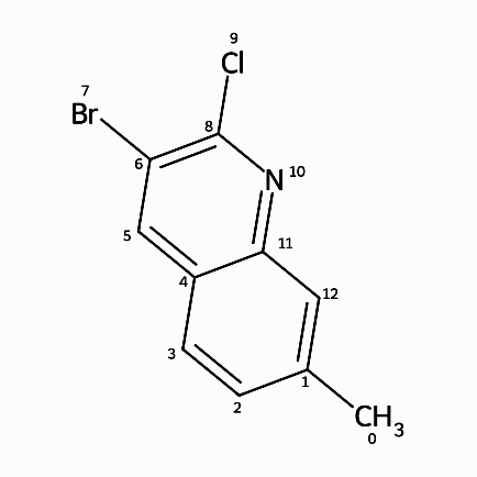 Cc1ccc2cc(Br)c(Cl)nc2c1